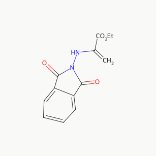 C=C(NN1C(=O)c2ccccc2C1=O)C(=O)OCC